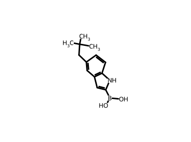 CC(C)(C)Cc1ccc2[nH]c(B(O)O)cc2c1